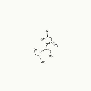 B.O=C(O)CS.O=C(O)CS.OCCO